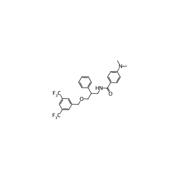 CN(C)c1ccc(C(=O)NCC(COCc2cc(C(F)(F)F)cc(C(F)(F)F)c2)c2ccccc2)cc1